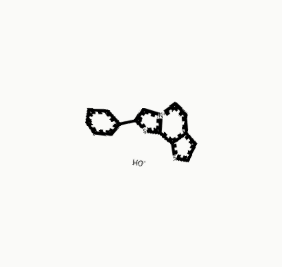 [OH-].c1ccc(-c2c[n+]3ccc4ccsc4c3s2)cc1